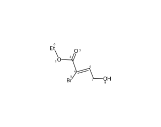 CCOC(=O)/C(Br)=C/CO